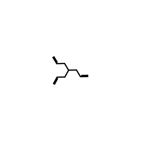 C=CCC(CC=C)CC=C